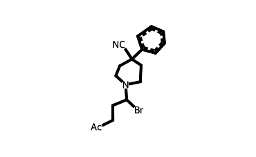 CC(=O)CCC(Br)N1CCC(C#N)(c2ccccc2)CC1